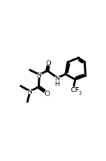 CN(C)C(=O)N(C)C(=O)Nc1ccccc1C(F)(F)F